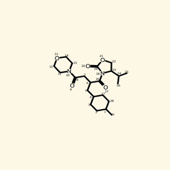 CC1CCC(CC(CC(=O)N2CCOCC2)C(=O)N2C(=O)OCC2C(C)C)CC1